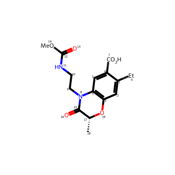 CCc1cc2c(cc1C(=O)O)N(CCNC(=O)OC)C(=O)[C@@H](C)O2